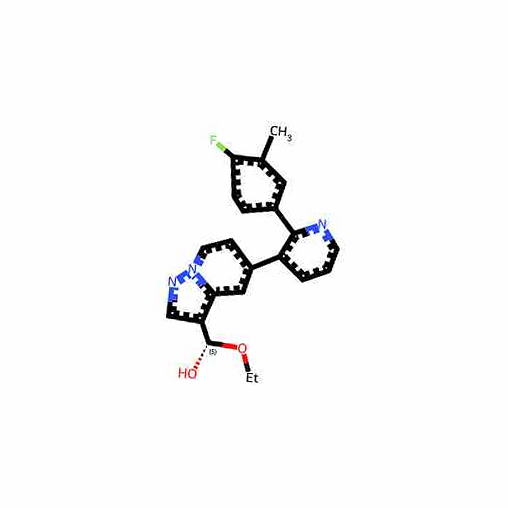 CCO[C@H](O)c1cnn2ccc(-c3cccnc3-c3ccc(F)c(C)c3)cc12